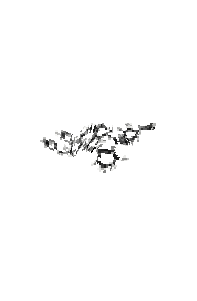 N#Cc1ccc(Nc2ncnc3c2c(-c2ccccc2)nn3[C@@H]2O[C@@H](CO)[C@@H](O)[C@H]2O)cc1